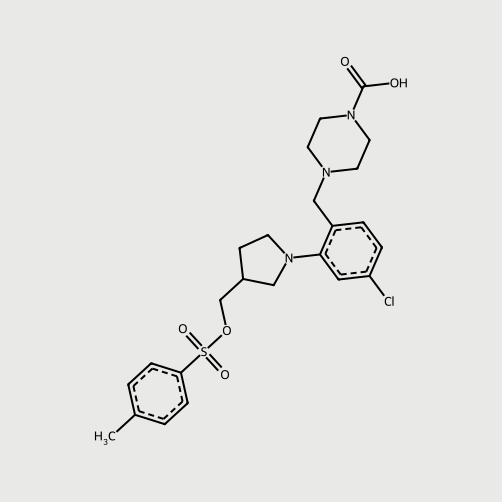 Cc1ccc(S(=O)(=O)OCC2CCN(c3cc(Cl)ccc3CN3CCN(C(=O)O)CC3)C2)cc1